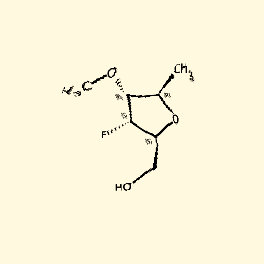 CO[C@H]1[C@@H](F)[C@H](CO)O[C@@H]1C